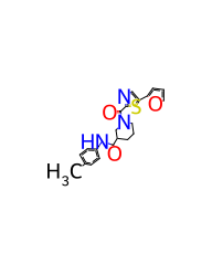 Cc1ccc(NC(=O)C2CCCN(C(=O)c3ncc(-c4ccco4)s3)C2)cc1